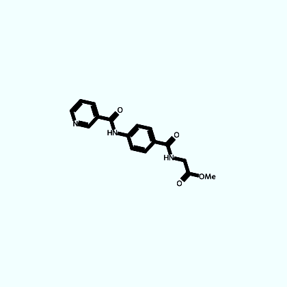 COC(=O)CNC(=O)c1ccc(NC(=O)c2cccnc2)cc1